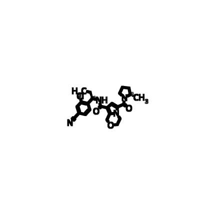 CC[C@@H](NC(=O)c1cc(C(=O)N2CCC[C@@H]2C)n2c1COCC2)c1ccc(C#N)cc1Cl